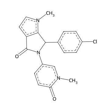 Cn1ccc2c1C(c1ccc(Cl)cc1)N(c1ccc(=O)n(C)c1)C2=O